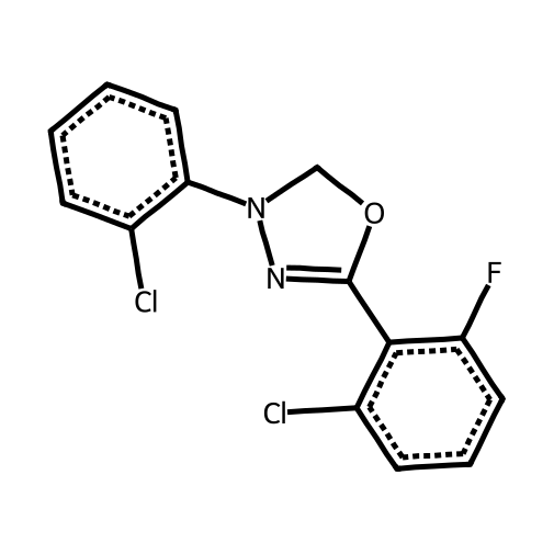 Fc1cccc(Cl)c1C1=NN(c2ccccc2Cl)CO1